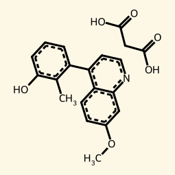 COc1ccc2c(-c3cccc(O)c3C)ccnc2c1.O=C(O)CC(=O)O